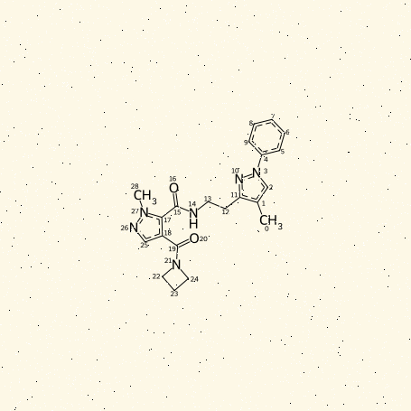 Cc1cn(-c2ccccc2)nc1CCNC(=O)c1c(C(=O)N2CCC2)cnn1C